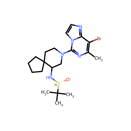 Cc1nc(N2CCC3(CCCC3)C(N[S@+]([O-])C(C)(C)C)C2)n2ccnc2c1Br